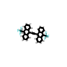 FC(F)(F)c1c2ccccc2c(C#Cc2c3ccccc3c(C(F)(F)F)c3ccccc23)c2ccccc12